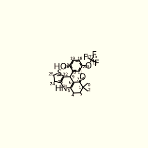 CC1(C)CCC2=C(C1=O)C(c1cc(OC(F)(F)F)ccc1O)C1=C(CCS1)N2